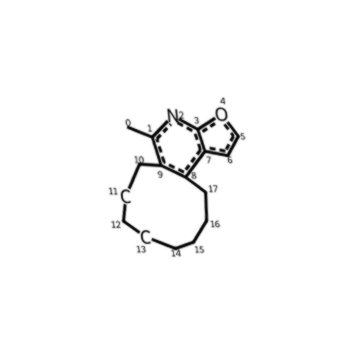 Cc1nc2occc2c2c1CCCCCCCC2